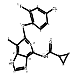 Cc1c(Oc2ccc(C#N)cc2F)nc(NC(=O)C2CC2)c2nc[nH]c12